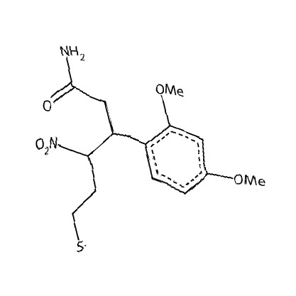 COc1ccc(C(CC(N)=O)C(CC[S])[N+](=O)[O-])c(OC)c1